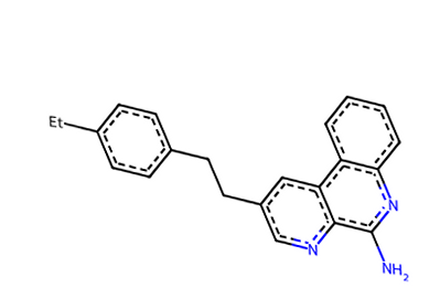 CCc1ccc(CCc2cnc3c(N)nc4ccccc4c3c2)cc1